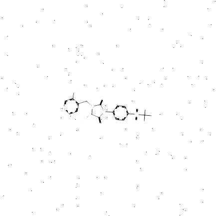 Cc1cnccc1CN1C(=O)N(c2ccc(S(=O)(=O)C(F)(F)F)cc2)C(=O)[C@H]1C